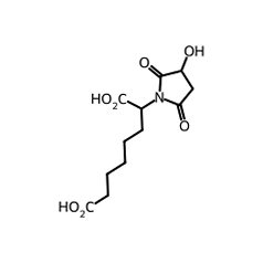 O=C(O)CCCCCC(C(=O)O)N1C(=O)CC(O)C1=O